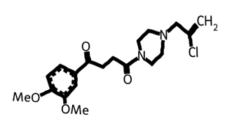 C=C(Cl)CN1CCN(C(=O)CCC(=O)c2ccc(OC)c(OC)c2)CC1